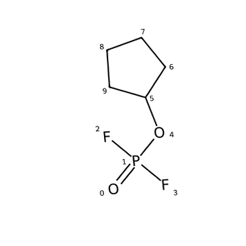 O=P(F)(F)OC1CCCC1